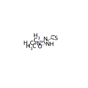 CC(C)(C)/[N+]([O-])=C/c1c[nH]c(-c2ccsc2)n1